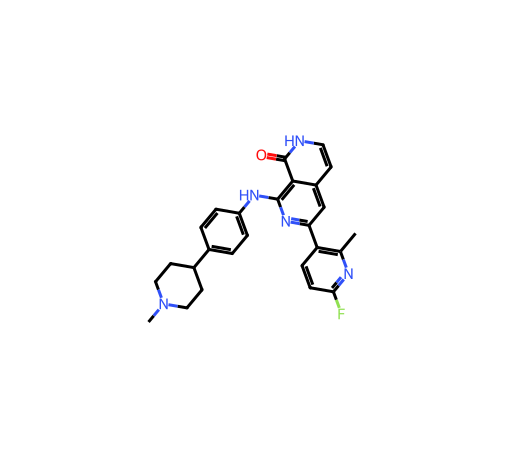 Cc1nc(F)ccc1-c1cc2cc[nH]c(=O)c2c(Nc2ccc(C3CCN(C)CC3)cc2)n1